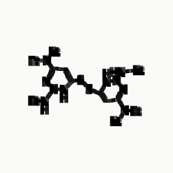 CCNN1N=C(N(CC)CC)C=C(SSC2=CC(N(CC)CC)=NN(NCC)N2)N1